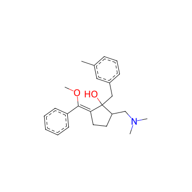 COC(=C1CCC(CN(C)C)C1(O)Cc1cccc(C)c1)c1ccccc1